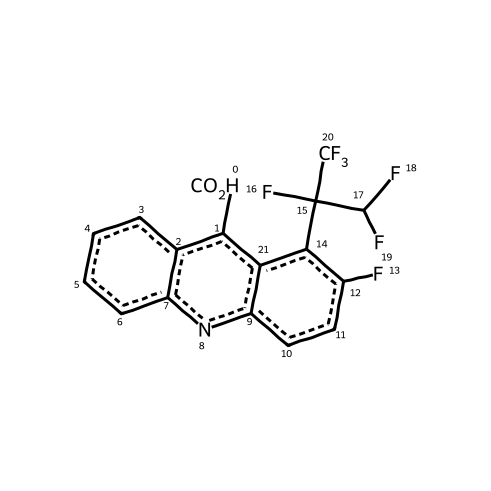 O=C(O)c1c2ccccc2nc2ccc(F)c(C(F)(C(F)F)C(F)(F)F)c12